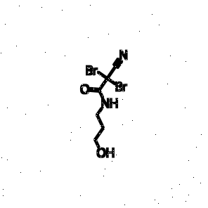 N#CC(Br)(Br)C(=O)NCCCO